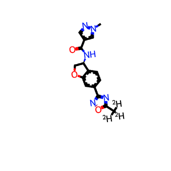 [2H]C([2H])([2H])c1nc(-c2ccc3c(c2)OC[C@H]3NC(=O)c2cnn(C)c2)no1